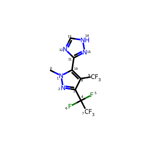 Cn1nc(C(F)(F)C(F)(F)F)c(C(F)(F)F)c1-c1nc[nH]n1